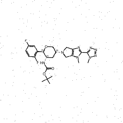 Cn1nnnc1-c1nc2c(n1C)CN([C@H]1CO[C@H](c3cc(F)ccc3F)[C@@H](NC(=O)OC(C)(C)C)C1)C2